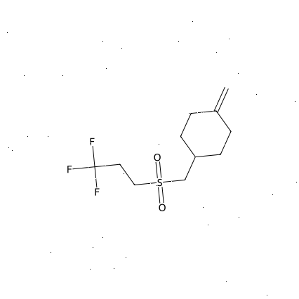 C=C1CCC(CS(=O)(=O)CCC(F)(F)F)CC1